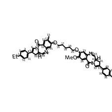 CCc1ccc(C2=CN3C(=O)c4cc(C)c(OCCCCCOc5cc6c(cc5OC)C(=O)N5C=C(c7ccc(C)cc7)C[C@H]5C=N6)cc4N=C[C@@H]3C2)cc1